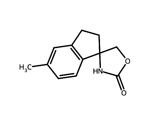 Cc1ccc2c(c1)CCC21COC(=O)N1